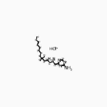 CCCCCCCCC(C)(C)CCCC(N)Cc1ncnc(N)n1.Cl